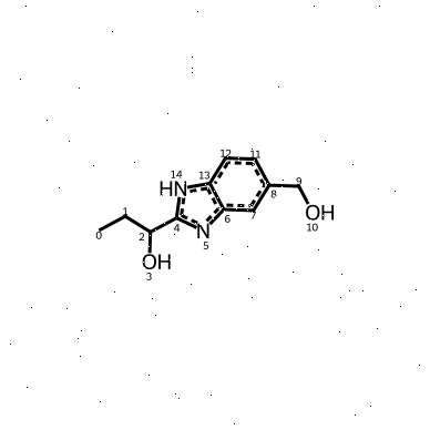 CCC(O)c1nc2cc(CO)ccc2[nH]1